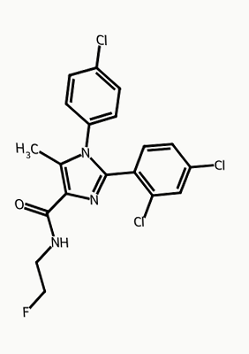 Cc1c(C(=O)NCCF)nc(-c2ccc(Cl)cc2Cl)n1-c1ccc(Cl)cc1